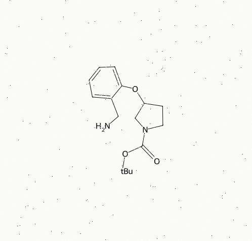 CC(C)(C)OC(=O)N1CCC(Oc2ccccc2CN)C1